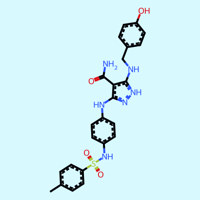 Cc1ccc(S(=O)(=O)Nc2ccc(Nc3n[nH]c(NCc4ccc(O)cc4)c3C(N)=O)cc2)cc1